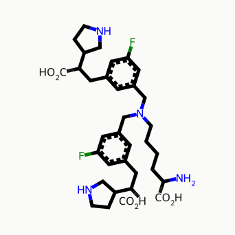 NC(CCCCN(Cc1cc(F)cc(CC(C(=O)O)C2CCNC2)c1)Cc1cc(F)cc(CC(C(=O)O)C2CCNC2)c1)C(=O)O